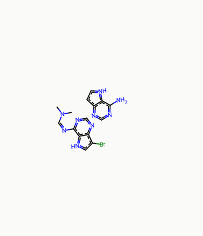 CN(C)/C=N\c1ncnc2c(Br)c[nH]c12.Nc1ncnc2cc[nH]c12